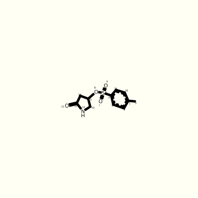 Cc1ccc(S(=O)(=O)OC2CNC(=O)C2)cc1